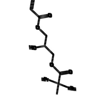 C=CC(=O)OCC(O)COC(=O)C(C)(CCC)CCCC